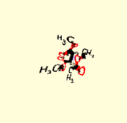 C=COC(C)=O.COC(=O)/C=C\C(=O)OC